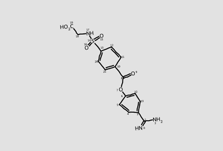 N=C(N)c1ccc(OC(=O)c2ccc(S(=O)(=O)NCC(=O)O)cc2)cc1